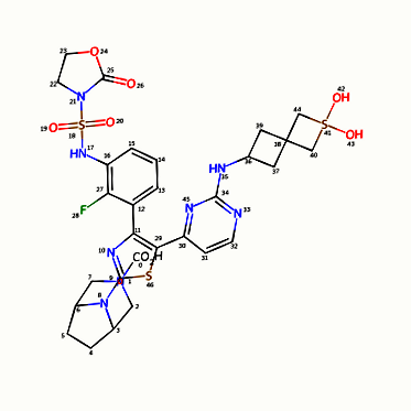 O=C(O)N1CC2CCC(C1)N2c1nc(-c2cccc(NS(=O)(=O)N3CCOC3=O)c2F)c(-c2ccnc(NC3CC4(C3)CS(O)(O)C4)n2)s1